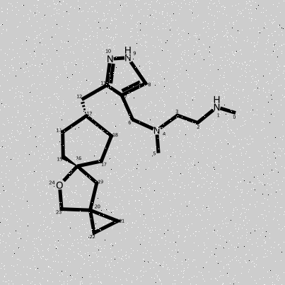 CNCCN(C)Cc1c[nH]nc1C[C@H]1CC[C@@]2(CC1)CC1(CC1)CO2